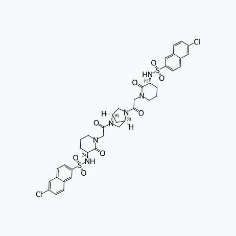 O=C1[C@@H](NS(=O)(=O)c2ccc3cc(Cl)ccc3c2)CCCN1CC(=O)N1C[C@H]2C[C@@H]1CN2C(=O)CN1CCC[C@H](NS(=O)(=O)c2ccc3cc(Cl)ccc3c2)C1=O